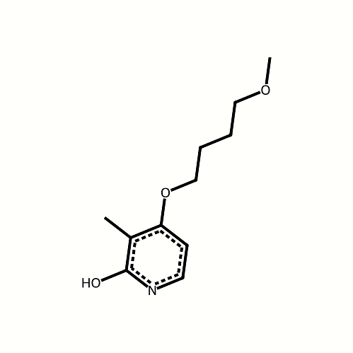 COCCCCOc1ccnc(O)c1C